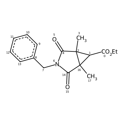 CCOC(=O)C1C2(C)C(=O)N(Cc3ccccc3)C(=O)C12C